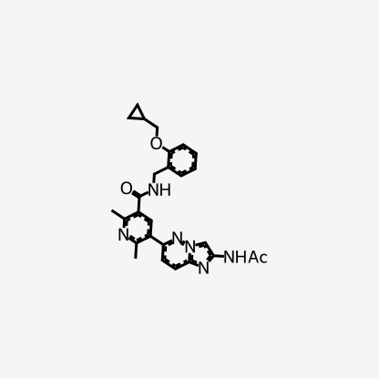 CC(=O)Nc1cn2nc(-c3cc(C(=O)NCc4ccccc4OCC4CC4)c(C)nc3C)ccc2n1